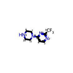 FC(F)(F)c1nccc(N2CCNCC2)n1